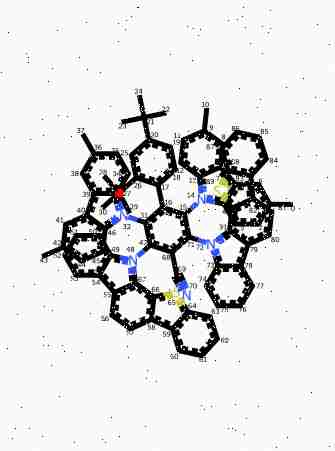 Cc1ccc2c(c1)c1cc(C)ccc1n2-c1c(-c2ccc(C(C)(C)C)cc2C(C)(C)C)c(-n2c3ccc(C)cc3c3cc(C)ccc32)c(-n2c3ccccc3c3ccc4c5ccccc5sc4c32)c(C#N)c1-n1c2ccccc2c2ccc3c4ccccc4sc3c21